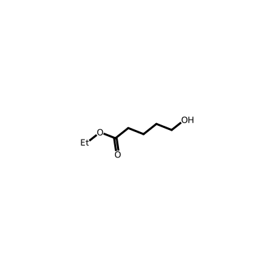 CCOC(=O)CCCCO